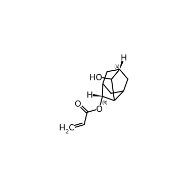 C=CC(=O)O[C@@H]1C2CC3C[C@@H](C2)C(O)C31